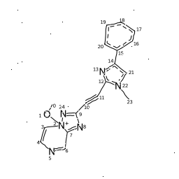 CO[N+]12C=CN=CC1=NC(C#Cc1nc(-c3ccccc3)cn1C)=N2